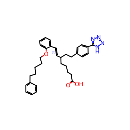 O=C(O)CCCCC(/C=C/c1ccccc1OCCCCCc1ccccc1)CCc1ccc(-c2nnn[nH]2)cc1